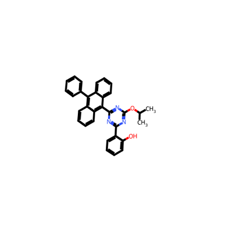 CC(C)Oc1nc(-c2ccccc2O)nc(-c2c3ccccc3c(-c3ccccc3)c3ccccc23)n1